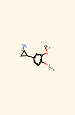 COc1ccc(C2C[C@H]2N)cc1OC